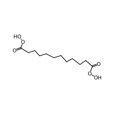 O=C(CCCCCCCCCCC(=O)OO)OO